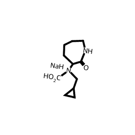 O=C1NCCCCC1N(CC1CC1)C(=O)O.[NaH]